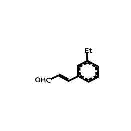 CCc1cccc(C=CC=O)c1